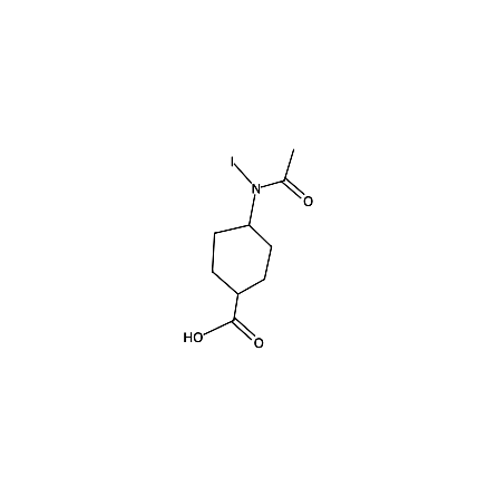 CC(=O)N(I)C1CCC(C(=O)O)CC1